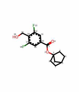 O=C(OC12CCC(CC1)C2)c1cc(F)c(CO)c(F)c1